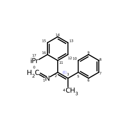 C=N/C(=C(\C)c1ccccc1)c1ccccc1C(C)C